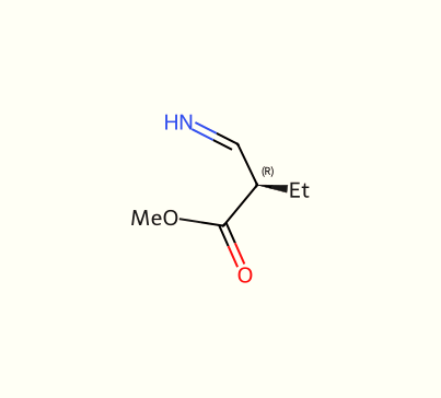 CC[C@H](C=N)C(=O)OC